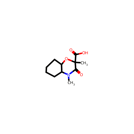 CN1C(=O)C(C)(C(=O)O)OC2CCCCC21